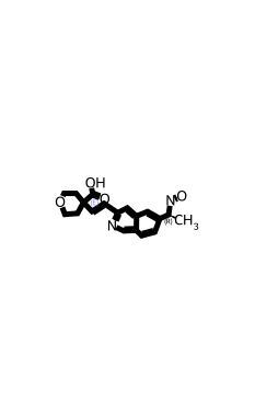 C[C@@H](N=O)c1ccc2cnc(/C=C/C3(C(=O)O)CCOCC3)cc2c1